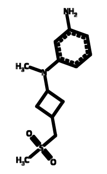 CN(c1cccc(N)c1)C1CC(CS(C)(=O)=O)C1